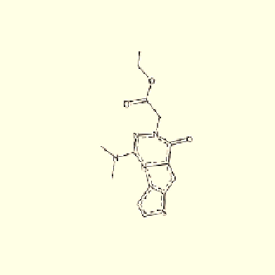 CCOC(=O)Cn1nc(N(C)C)n2c(cc3sccc32)c1=O